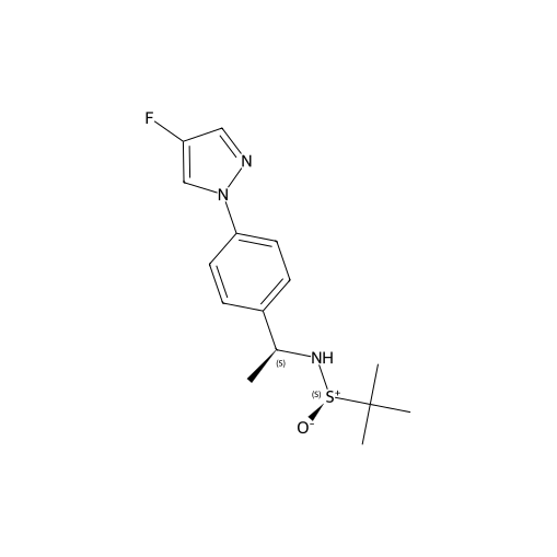 C[C@H](N[S@+]([O-])C(C)(C)C)c1ccc(-n2cc(F)cn2)cc1